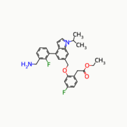 CCOC(=O)Cc1ccc(F)cc1OCc1cc(-c2cccc(CN)c2F)c2ccn(C(C)C)c2c1